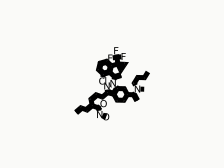 C=C/C=C(\C=C/Cc1nn(C(=C)c2c(Cl)cccc2C2(C(F)(F)F)CC2)c2c1CCC(C(=C)N(C)CCCC)C2)C(=O)N=O